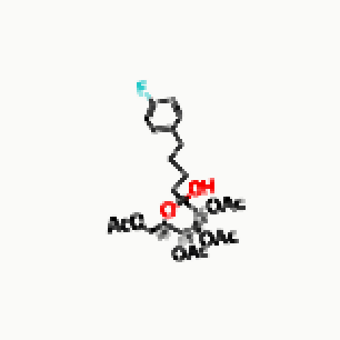 CC(=O)OC[C@H]1O[C@](O)(CCCCc2ccc(F)cc2)[C@H](OC(C)=O)[C@@H](OC(C)=O)[C@@H]1OC(C)=O